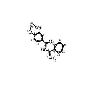 C=C(NC(=O)c1ccc(OCCCCC)cc1)c1ccccc1